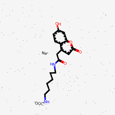 O=C([O-])NCCCCCCNC(=O)Cc1cc(=O)oc2cc(O)ccc12.[Na+]